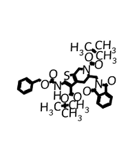 CC(C)(C)OC(=O)c1c(NC(=O)OCc2ccccc2)sc2c1CC(CN1C(=O)c3ccccc3C1=O)N(C(=O)OC(C)(C)C)C2